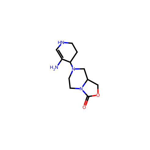 NC1=CNCCC1N1CCN2C(=O)OCC2C1